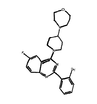 Oc1ccccc1-c1nc(N2CCC(N3CCOCC3)CC2)c2cc(F)ccc2n1